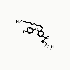 C=CCCCCC/C=C\c1cc(C(=O)NCC(=O)O)ccc1Oc1ccc(F)cc1